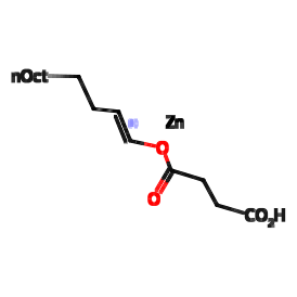 CCCCCCCCCC/C=C/OC(=O)CCC(=O)O.[Zn]